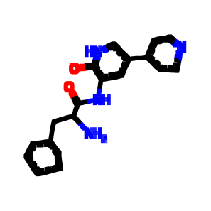 NC(Cc1ccccc1)C(=O)Nc1cc(-c2ccncc2)c[nH]c1=O